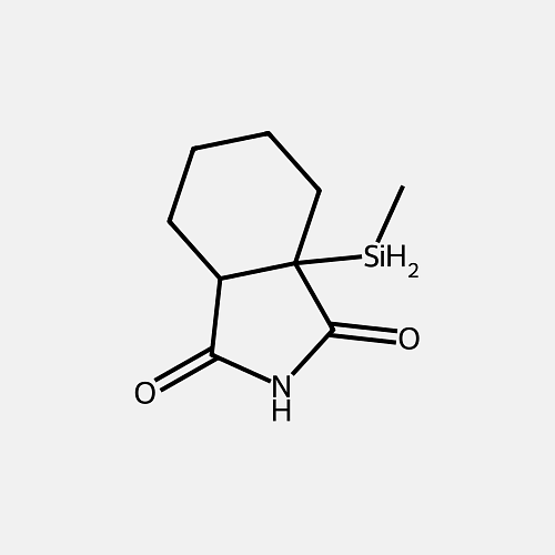 C[SiH2]C12CCCCC1C(=O)NC2=O